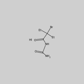 CCC(Br)(CC)C(=O)NC(N)=O.I